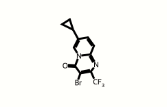 O=c1c(Br)c(C(F)(F)F)nc2ccc(C3CC3)cn12